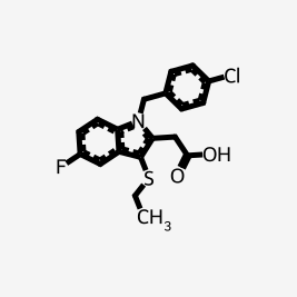 CCSc1c(CC(=O)O)n(Cc2ccc(Cl)cc2)c2ccc(F)cc12